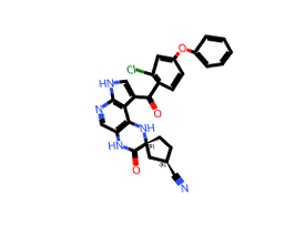 N#C[C@@H]1CC[C@]2(C1)Nc1c(cnc3[nH]cc(C(=O)c4ccc(Oc5ccccc5)cc4Cl)c13)NC2=O